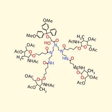 COc1ccc(C(OCC(O)C(=O)N(CCN(CCNC(=O)CCCCO[C@@H]2OC(COC(C)=O)[C@H](OC(C)=O)[C@H](C)C2NC(C)=O)C(=O)CCCCO[C@@H]2OC(COC(C)=O)[C@H](OC(C)=O)[C@H](C)C2NC(C)=O)CCN(CCNC(=O)CCCCO[C@@H]2OC(COC(C)=O)[C@H](OC(C)=O)[C@H](C)C2NC(C)=O)C(=O)CCCCO[C@@H]2OC(COC(C)=O)[C@H](OC(C)=O)[C@H](C)C2NC(C)=O)(c2ccccc2)c2ccc(OC)cc2)cc1